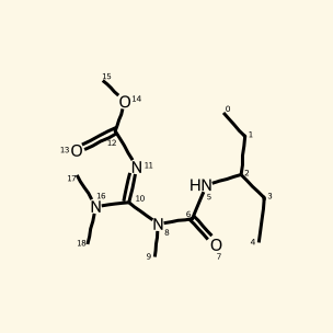 CCC(CC)NC(=O)N(C)C(=NC(=O)OC)N(C)C